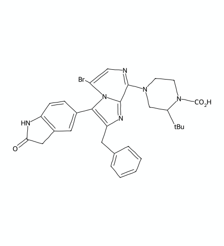 CC(C)(C)C1CN(c2ncc(Br)n3c(-c4ccc5c(c4)CC(=O)N5)c(Cc4ccccc4)nc23)CCN1C(=O)O